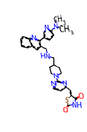 CN(C)c1ccc(-c2nc3ccccc3cc2CNCC2CCN(c3nccc(/C=C4\SC(=O)NC4=O)n3)CC2)cn1